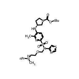 CCC[SiH](C)CCOCN(c1cscn1)S(=O)(=O)c1ccc(N[C@H]2CCN(C(=O)OC(C)(C)C)C2)c(C)n1